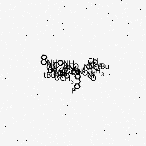 C[C@@H]1COCCN1C[C@H]1CN(C(=O)OC(C)(C)C)[C@H](C)CN1CC(=O)N1C[C@@](C)(C(=O)NCC(=O)Nc2ccc3c(c2)CN(C(=O)[C@@H](NC(=O)[C@H](C)N(C)C(=O)OC(C)(C)C)C(C)(C)C)[C@H](C(=O)N[C@@H]2CCCc4ccccc42)C3)c2ccc(Cc3ccc(F)cc3)cc21